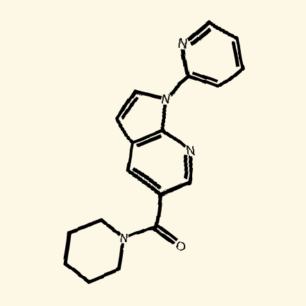 O=C(c1cnc2c(ccn2-c2ccccn2)c1)N1CCCCC1